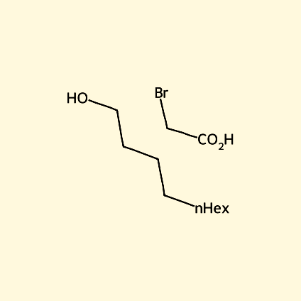 CCCCCCCCCCO.O=C(O)CBr